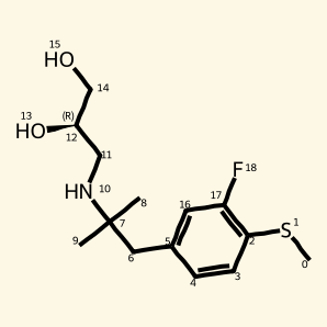 CSc1ccc(CC(C)(C)NC[C@@H](O)CO)cc1F